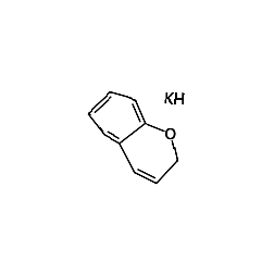 C1=Cc2ccccc2OC1.[KH]